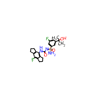 CC(C)(O)c1cc(F)cc([S@@](N)(=O)=NC(=O)Nc2c3c(c(F)c4c2CCC4)CCC3)c1